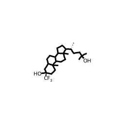 C[C@H](CCC(C)(C)O)C1CCC2C3CCC4C[C@](O)(C(F)(F)F)CCC4(C)C3CCC21C